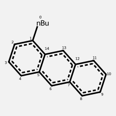 CCCCc1cccc2cc3[c]cccc3cc12